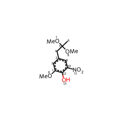 COc1cc(CC(C)(OC)OC)cc([N+](=O)[O-])c1O